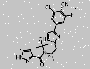 C[C@@H](Cn1ccc(-c2cc(F)c(C#N)c(Cl)c2)n1)N(C(=O)c1cc[nH]n1)C(C)(C)O